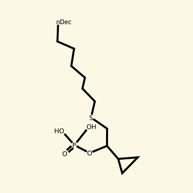 CCCCCCCCCCCCCCCCSCC(OP(=O)(O)O)C1CC1